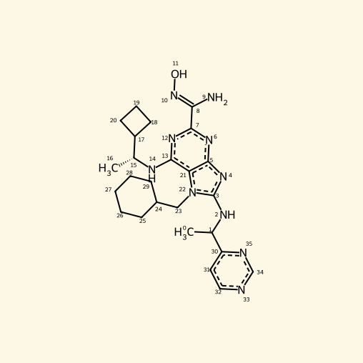 CC(Nc1nc2nc(/C(N)=N/O)nc(N[C@H](C)C3CCC3)c2n1CC1CCCCC1)c1ccncn1